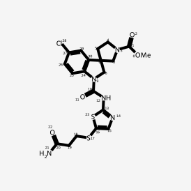 COC(=O)N1CCC2(C1)CN(C(=O)Nc1ncc(SCCC(N)=O)s1)c1ccc(Cl)cc12